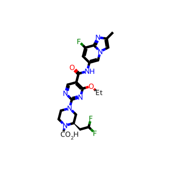 CCOc1nc(N2CCN(C(=O)O)[C@H](CC(F)F)C2)ncc1C(=O)Nc1cc(F)c2nc(C)cn2c1